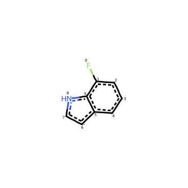 Fc1cccc2[c]c[nH]c12